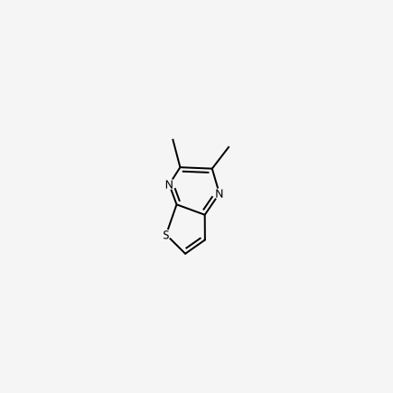 Cc1nc2ccsc2nc1C